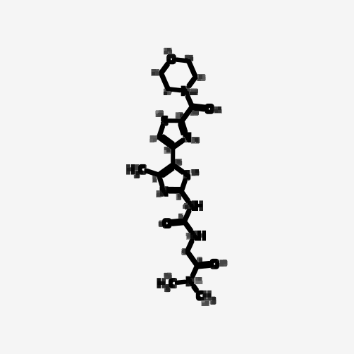 Cc1nc(NC(=O)NCC(=O)N(C)C)sc1-c1csc(C(=O)N2CCOCC2)n1